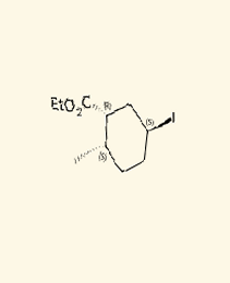 CCOC(=O)[C@@H]1C[C@@H](I)CC[C@@H]1C